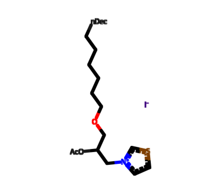 CCCCCCCCCCCCCCCCOCC(C[n+]1ccsc1)OC(C)=O.[I-]